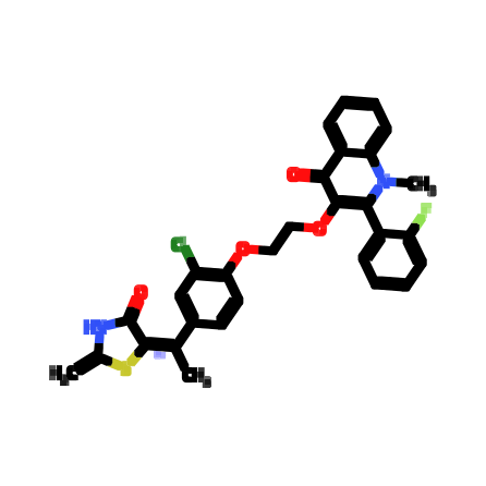 C=c1[nH]c(=O)/c(=C(/C)c2ccc(OCCOc3c(-c4ccccc4F)n(C)c4ccccc4c3=O)c(Cl)c2)s1